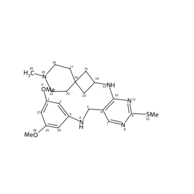 COc1cc(NCc2cnc(SC)nc2NC2CC3(CCN(C)CC3)C2)cc(OC)c1